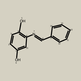 Oc1ccc(O)c(/N=C/c2ccccc2)c1